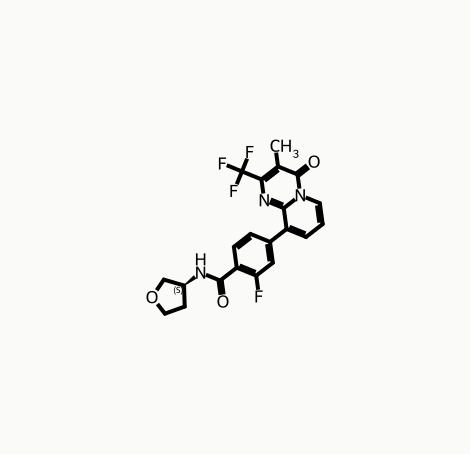 Cc1c(C(F)(F)F)nc2c(-c3ccc(C(=O)N[C@H]4CCOC4)c(F)c3)cccn2c1=O